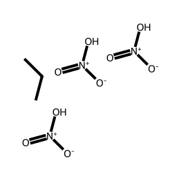 CCC.O=[N+]([O-])O.O=[N+]([O-])O.O=[N+]([O-])O